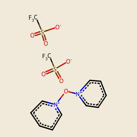 O=S(=O)([O-])C(F)(F)F.O=S(=O)([O-])C(F)(F)F.c1cc[n+](O[n+]2ccccc2)cc1